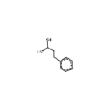 SC(S)CCc1ccccc1